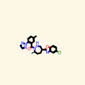 Cc1ccc(-n2nccn2)c(C(=O)N2NCC(c3nc4cc(Cl)ccc4o3)CC[C@H]2C)c1